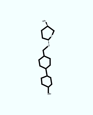 CCCC1CCC(C2CCC(CO[C@H]3CC[C@H](CCC)CC3)CC2)CC1